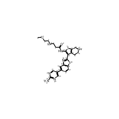 COCCNCCC(=O)Nc1sc2c(c1-c1nc3cc(-c4cnc(N)nc4)ccc3s1)CCNC2